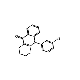 O=c1c2c(n(-c3cccc(Cl)c3)c3ccccc13)OCCC2